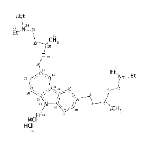 CCN(CC)CCC(C)CCc1ccc2c(c1)c1cc(CCC(C)CCN(CC)CC)ccc1n2CC.Cl.Cl